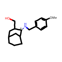 COc1ccc(CN[C@H]2C(CO)CC3CCCC2C3)cc1